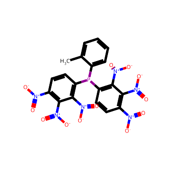 Cc1ccccc1P(c1ccc([N+](=O)[O-])c([N+](=O)[O-])c1[N+](=O)[O-])c1ccc([N+](=O)[O-])c([N+](=O)[O-])c1[N+](=O)[O-]